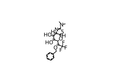 CN(C)C1=N[C@@H]2[C@@H](O)[C@H](O)C([C@@H](OCc3ccccc3)C(F)(F)F)O[C@@H]2S1